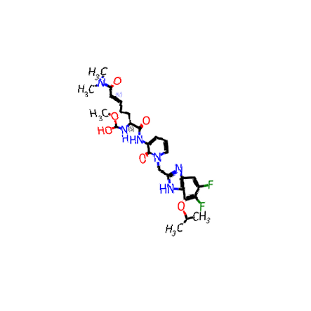 COC(O)N[C@@H](CC/C=C/C(=O)N(C)C)C(=O)Nc1cccn(Cc2nc3cc(F)c(F)c(OC(C)C)c3[nH]2)c1=O